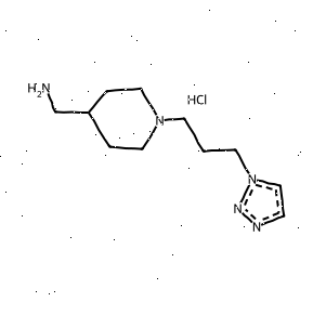 Cl.NCC1CCN(CCCn2ccnn2)CC1